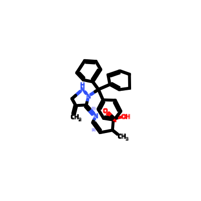 C=C1CNN(C(C2=CCCC=C2)(c2ccccc2)c2ccccc2)/C1=N/C=C\C(C)C(=O)O